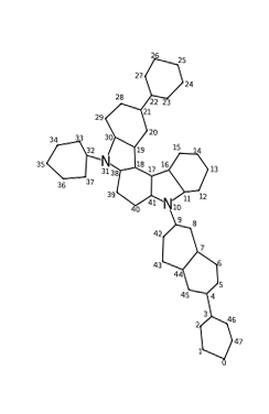 C1CCC(C2CCC3CC(N4C5CCCCC5C5C6C7CC(C8CCCCC8)CCC7N(C7CCCCC7)C6CCC54)CCC3C2)CC1